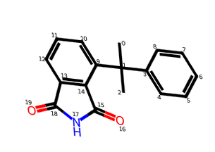 CC(C)(c1ccccc1)c1cccc2c1C(=O)NC2=O